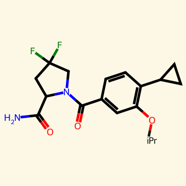 CC(C)Oc1cc(C(=O)N2CC(F)(F)CC2C(N)=O)ccc1C1CC1